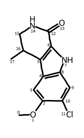 COc1cc2c3c([nH]c2cc1Cl)C(=O)NCC3C